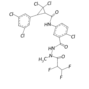 CN(NC(=O)c1cc(NC(=O)C2C(c3cc(Cl)cc(Cl)c3)C2(Cl)Cl)ccc1Cl)C(=O)C(F)C(F)F